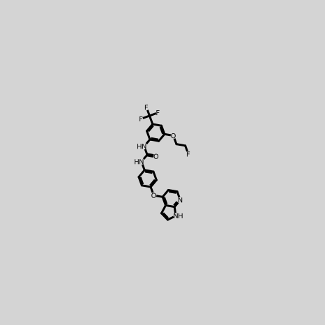 O=C(Nc1ccc(Oc2ccnc3[nH]ccc23)cc1)Nc1cc(OCCF)cc(C(F)(F)F)c1